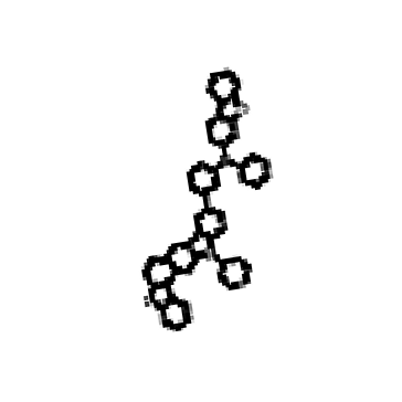 c1ccc(N(c2cccc(-c3ccc4c(c3)c3cc5ccc6oc7ccccc7c6c5cc3n4-c3ccccc3)c2)c2ccc3c(c2)oc2ccccc23)cc1